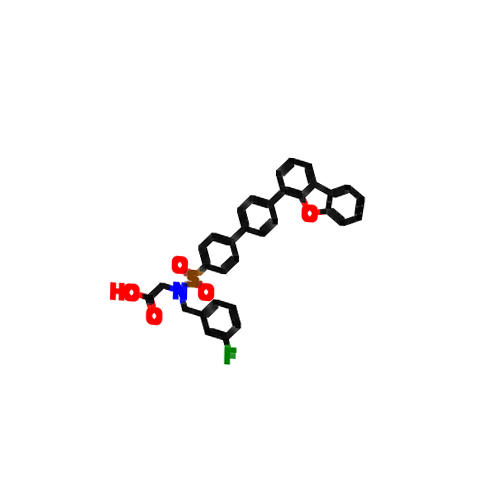 O=C(O)CN(Cc1cccc(F)c1)S(=O)(=O)c1ccc(-c2ccc(-c3cccc4c3oc3ccccc34)cc2)cc1